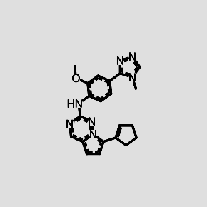 COc1cc(-c2nncn2C)ccc1Nc1ncc2ccc(C3=CCCC3)n2n1